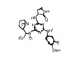 CCC(Nc1nc(Nc2ccc(OC)c(F)c2)nc(NC2CCNC2=O)n1)C1CCCN1